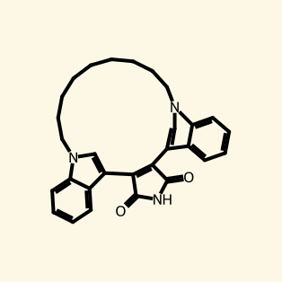 O=C1NC(=O)C2=C1c1cn(c3ccccc13)CCCCCCCCCn1cc2c2ccccc21